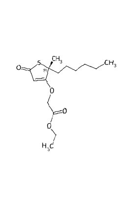 CCCCCC[C@@]1(C)SC(=O)C=C1OCC(=O)OCC